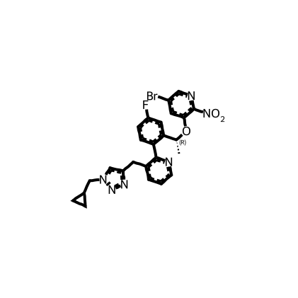 C[C@@H](Oc1cc(Br)cnc1[N+](=O)[O-])c1cc(F)ccc1-c1ncccc1Cc1cn(CC2CC2)nn1